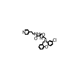 O=C(NCCc1ccncc1)c1coc(CN2Cc3ccccc3Oc3ccc(Cl)cc32)n1